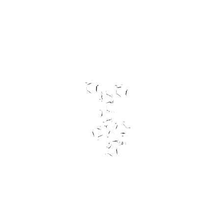 c1ccc(-c2cc(-c3ccccc3)nc(-c3ccc(-n4c5ccccc5c5c6c7ccccc7[nH]c6c6ccccc6c54)cc3)n2)cc1